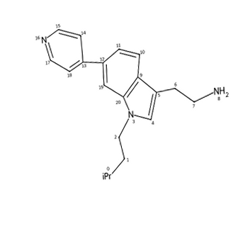 CC(C)CCn1cc(CCN)c2ccc(-c3ccncc3)cc21